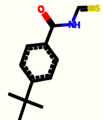 CC(C)(C)c1ccc(C(=O)NC=S)cc1